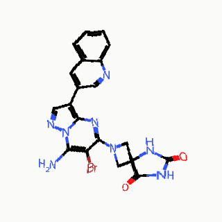 Nc1c(Br)c(N2CC3(C2)NC(=O)NC3=O)nc2c(-c3cnc4ccccc4c3)cnn12